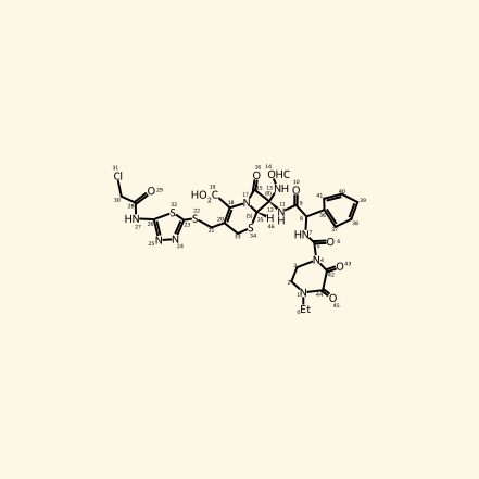 CCN1CCN(C(=O)NC(C(=O)N[C@]2(NC=O)C(=O)N3C(C(=O)O)=C(CSc4nnc(NC(=O)CCl)s4)CS[C@H]32)c2ccccc2)C(=O)C1=O